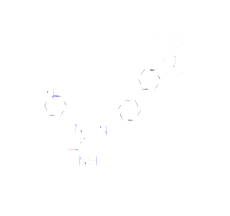 Cc1cc(CN2CCN(Cc3ccncc3)[C@H](C(=O)NC(C)C)C2)ccc1-c1ccc(C(O)(C(F)(F)F)C(F)(F)F)cc1